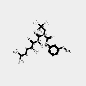 COc1cccc(NC(=O)N(CC(C)(C)C)C(=O)N(O)C(=O)[C@@H](O)CCC(C)C)c1